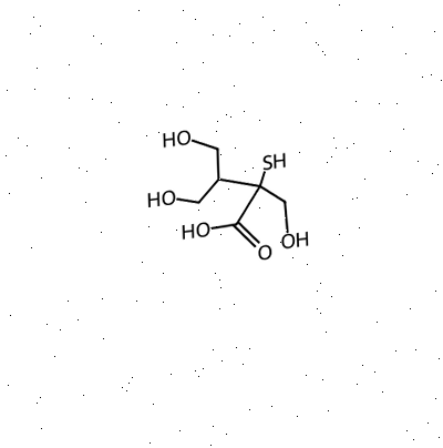 O=C(O)C(S)(CO)C(CO)CO